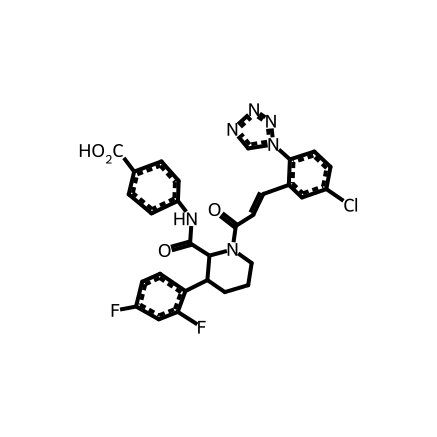 O=C(O)c1ccc(NC(=O)C2C(c3ccc(F)cc3F)CCCN2C(=O)/C=C/c2cc(Cl)ccc2-n2cnnn2)cc1